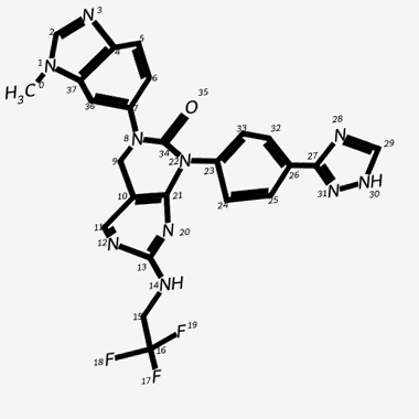 Cn1cnc2ccc(N3Cc4cnc(NCC(F)(F)F)nc4N(c4ccc(-c5nc[nH]n5)cc4)C3=O)cc21